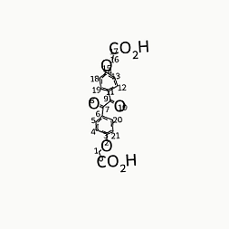 O=C(O)COc1ccc(C(=O)C(=O)c2ccc(OCC(=O)O)cc2)cc1